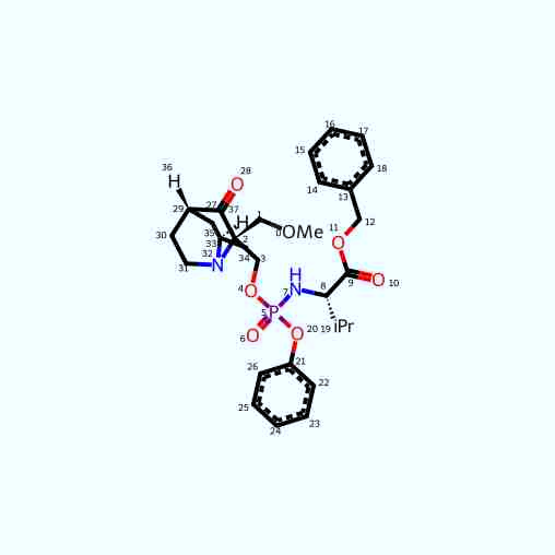 COC[C@]1(COP(=O)(N[C@H](C(=O)OCc2ccccc2)C(C)C)Oc2ccccc2)C(=O)[C@H]2CCN1[C@H](C)C2